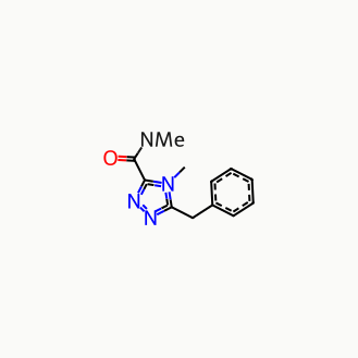 CNC(=O)c1nnc(Cc2ccccc2)n1C